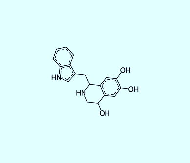 Oc1cc2c(cc1O)C(Cc1c[nH]c3ccccc13)NCC2O